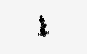 CCc1cc[n+](CCN(Cc2ccc(P(=O)(O)O)cc2)C(C)=O)cc1